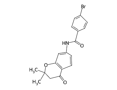 CC1(C)CC(=O)c2ccc(NC(=O)c3ccc(Br)cc3)cc2O1